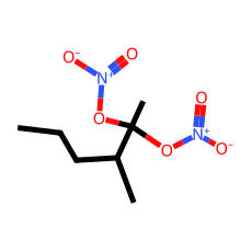 CCCC(C)C(C)(O[N+](=O)[O-])O[N+](=O)[O-]